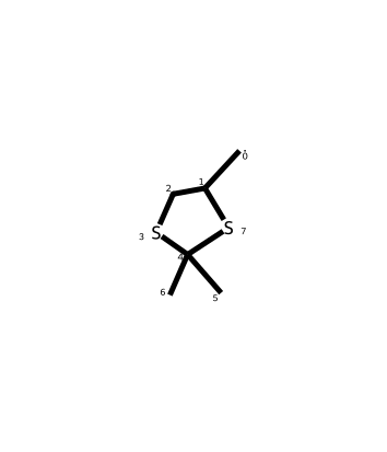 [CH2]C1CSC(C)(C)S1